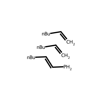 C=CCCCC.C=CCCCC.CCCCC=CP